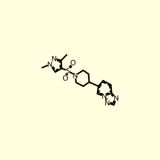 Cc1nn(C)cc1S(=O)(=O)N1CCC(c2ccc3ncnn3c2)CC1